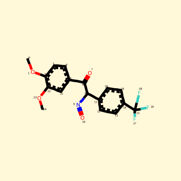 COc1ccc(C(=O)C(N=O)c2ccc(C(F)(F)F)cc2)cc1OC